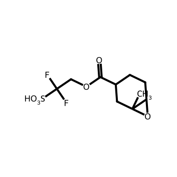 CC12CC(C(=O)OCC(F)(F)S(=O)(=O)O)CCC1O2